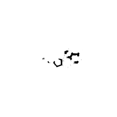 CC(C)(C)OC[C@@H]1CC[C@H](n2cnc3c(=O)ncn(C(C)(C)C)c32)O1